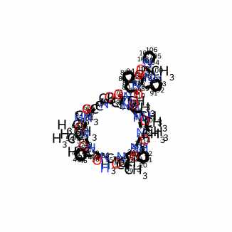 CCC1(C)NC(=O)[C@H](C(C)C)N(C)C(=O)[C@H](Cc2ccccc2)NC(=O)C(CC(C)C)N(C)C(=O)CNC(=O)[C@H](Cc2ccccc2)N(C)C(=O)[C@H](CC(C)C)N(C)C(=O)[C@H](C(C)C)NC(=O)CCN(C)C(=O)CC(C(=O)N(C)[C@H]2Cc3ccccc3N([C@@H](Cc3ccccc3)C(=O)N[C@@H](C)C(=O)N3CCCCC3)C2=O)NC1=O